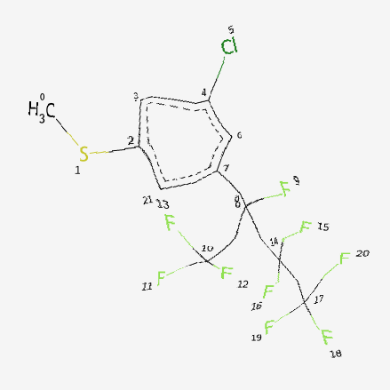 CSc1[c]c(Cl)cc(C(F)(C(F)(F)F)C(F)(F)C(F)(F)F)c1